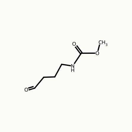 COC(=O)NCCCC=O